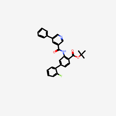 CC(C)(C)OC(=O)c1ccc(-c2ccccc2F)cc1NC(=O)c1cncc(-c2ccccc2)c1